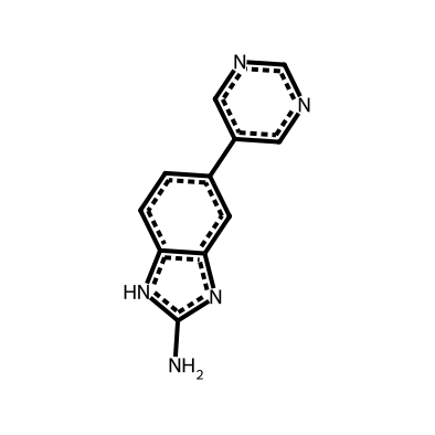 Nc1nc2cc(-c3cncnc3)ccc2[nH]1